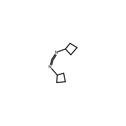 C(=NC1CCC1)=NC1CCC1